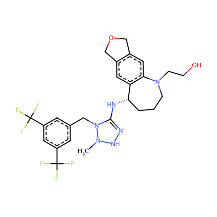 CN1NN=C(N[C@H]2CCCN(CCO)c3cc4c(cc32)COC4)N1Cc1cc(C(F)(F)F)cc(C(F)(F)F)c1